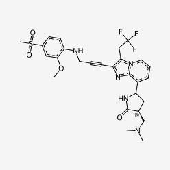 COc1cc(S(C)(=O)=O)ccc1NCC#Cc1nc2c(C3C[C@@H](CN(C)C)C(=O)N3)cccn2c1CC(F)(F)F